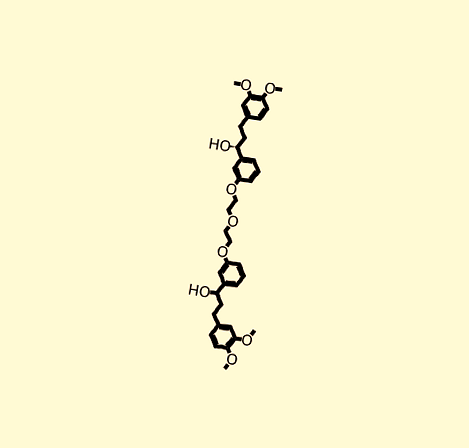 COc1ccc(CCC(O)c2cccc(OCCOCCOc3cccc([C@H](O)CCc4ccc(OC)c(OC)c4)c3)c2)cc1OC